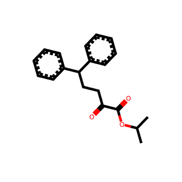 CC(C)OC(=O)C(=O)CCC(c1ccccc1)c1ccccc1